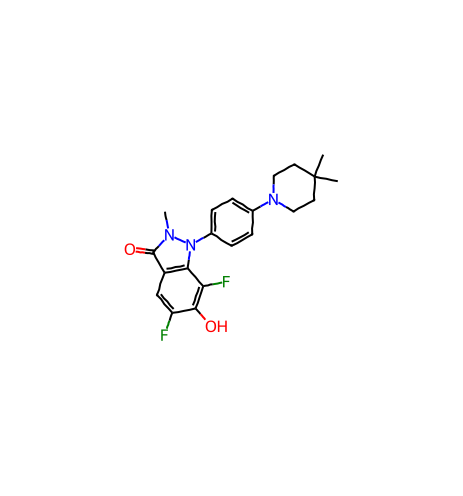 Cn1c(=O)c2cc(F)c(O)c(F)c2n1-c1ccc(N2CCC(C)(C)CC2)cc1